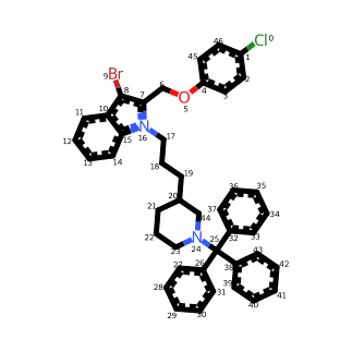 Clc1ccc(OCc2c(Br)c3ccccc3n2CCCC2CCCN(C(c3ccccc3)(c3ccccc3)c3ccccc3)C2)cc1